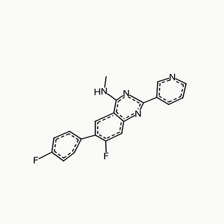 CNc1nc(-c2cccnc2)nc2cc(F)c(-c3ccc(F)cc3)cc12